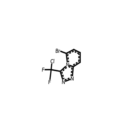 FC(F)(Cl)c1nnc2cccc(Br)n12